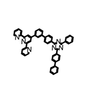 c1ccc(-c2ccc(-c3nc(-c4ccccc4)nc(-c4ccc(-c5cccc(-c6cc(-c7ccccn7)nc(-c7ccccn7)c6)c5)cc4)n3)cc2)cc1